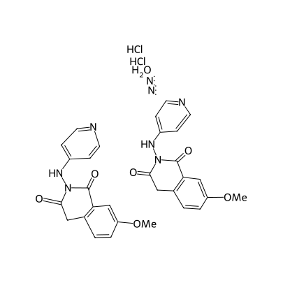 COc1ccc2c(c1)C(=O)N(Nc1ccncc1)C(=O)C2.COc1ccc2c(c1)C(=O)N(Nc1ccncc1)C(=O)C2.Cl.Cl.O.[N].[N]